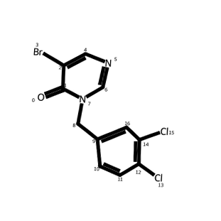 O=c1c(Br)cncn1Cc1ccc(Cl)c(Cl)c1